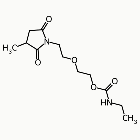 CCNC(=O)OCCOCCN1C(=O)CC(C)C1=O